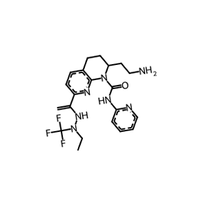 C=C(NN(CC)C(F)(F)F)c1ccc2c(n1)N(C(=O)Nc1ccccn1)C(CCN)CC2